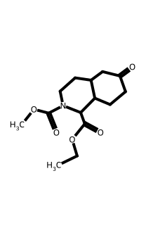 CCOC(=O)C1C2CCC(=O)CC2CCN1C(=O)OC